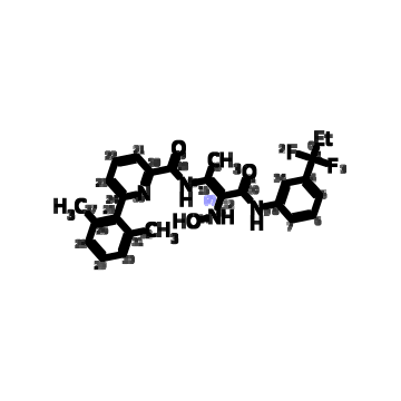 CCC(F)(F)c1cccc(NC(=O)/C(NO)=C(\C)NC(=O)c2cccc(-c3c(C)cccc3C)n2)c1